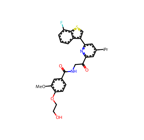 COc1cc(C(=O)NCC(=O)c2cc(C(C)C)cc(-c3csc4c(F)cccc34)n2)ccc1OCCO